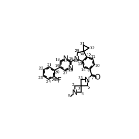 CN1CC2(C1)CN(C(=O)c1ccc3c(c1)N(c1ncc(-c4ccccc4F)cn1)CC31CC1)C2